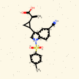 C=C(C(=O)O)C1CC1c1cn(S(=O)(=O)c2ccc(C)cc2)c2ccc(C#N)cc12